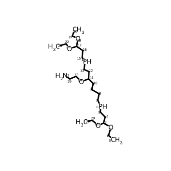 CCOC(CCPCCCCC(CCPCCC(OCC)OCC)OCCN)OCC